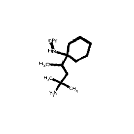 CCCNC1(C(C)CC(C)(C)N)CCCCC1